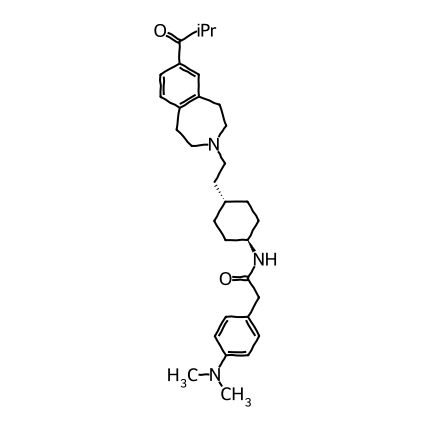 CC(C)C(=O)c1ccc2c(c1)CCN(CC[C@H]1CC[C@H](NC(=O)Cc3ccc(N(C)C)cc3)CC1)CC2